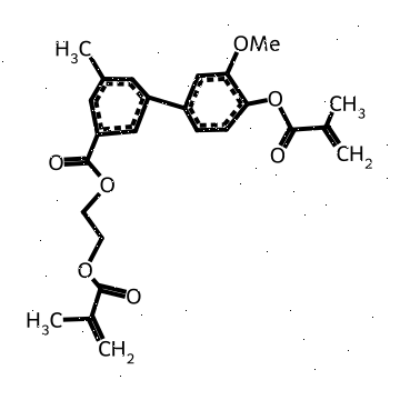 C=C(C)C(=O)OCCOC(=O)c1cc(C)cc(-c2ccc(OC(=O)C(=C)C)c(OC)c2)c1